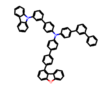 c1ccc(-c2cccc(-c3ccc(N(c4ccc(-c5ccc(-c6cccc7oc8ccccc8c67)cc5)cc4)c4ccc(-c5cccc(-n6c7ccccc7c7ccccc76)c5)cc4)cc3)c2)cc1